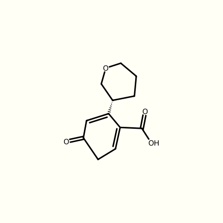 O=C1C=C([C@H]2CCCOC2)C(C(=O)O)=CC1